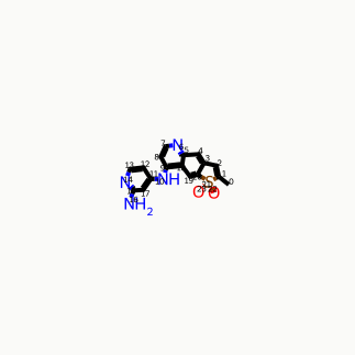 CC1=Cc2cc3nccc(Nc4ccnc(N)c4)c3cc2S1(=O)=O